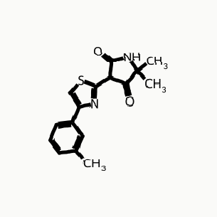 Cc1cccc(-c2csc(C3C(=O)NC(C)(C)C3=O)n2)c1